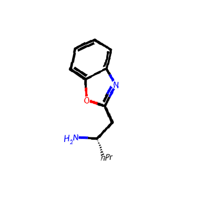 CCC[C@H](N)Cc1nc2ccccc2o1